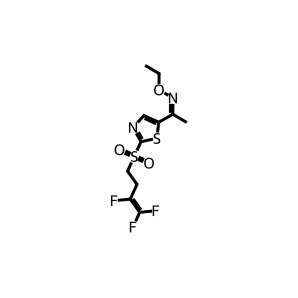 CCO/N=C(/C)c1cnc(S(=O)(=O)CCC(F)=C(F)F)s1